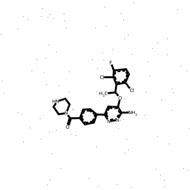 CC(Oc1cc(-c2ccc(C(=O)N3CCNCC3)cc2)nnc1N)c1c(Cl)ccc(F)c1Cl